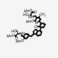 COC(=O)[C@@H](CO)NCc1ccc(/C=C2\CCc3c2cccc3-c2cccc(-c3cc(C)c(CN[C@H](CO)C(=O)OC)c(OC)n3)c2Cl)cc1OC